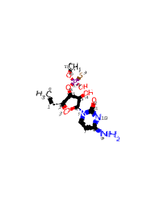 CC[C@H]1O[C@@H](n2ccc(N)nc2=O)C(O)C1OP(O)(=S)OC